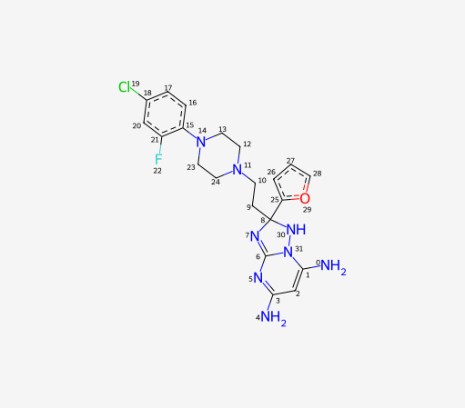 NC1=CC(N)=NC2=NC(CCN3CCN(c4ccc(Cl)cc4F)CC3)(c3ccco3)NN12